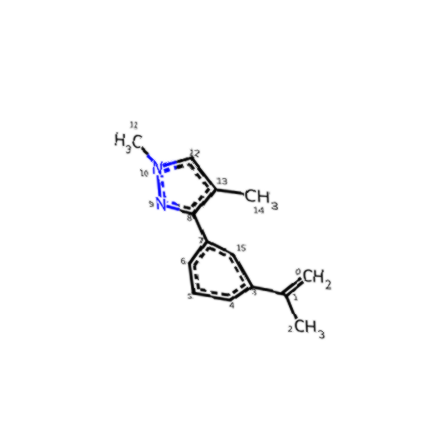 C=C(C)c1cccc(-c2nn(C)cc2C)c1